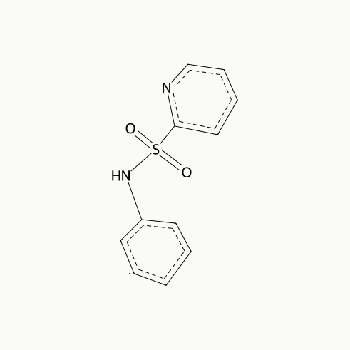 O=S(=O)(Nc1c[c]ccc1)c1ccccn1